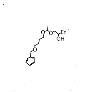 CCC(O)COC(C)OCCCCOCc1ccccc1